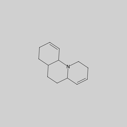 C1=CC2C(CC1)CCC1C=CCCN12